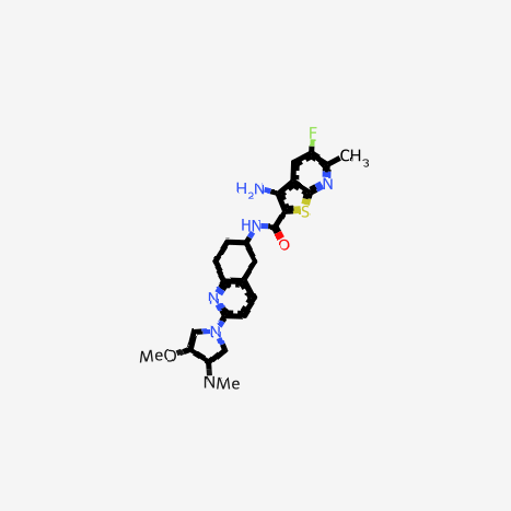 CNC1CN(c2ccc3c(n2)CCC(NC(=O)c2sc4nc(C)c(F)cc4c2N)C3)CC1OC